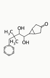 CC(C)(Cc1ccccc1)C(O)C(O)C1C2CC(=O)CC21